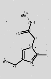 CC[C@@H](C)NC(=O)Cn1cc(CC(C)C)nc1C